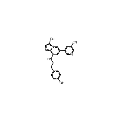 CCC(C)c1cnc2c(NCCc3ccc(O)cc3)cc(-c3cncc(C#N)c3)cn12